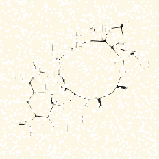 CC[C@H]1OC(=O)[C@H](C)C(=O)[C@H](C)[C@@H](O[C@@H]2OC([C@@H](C)N(C)C)CC(N(C)C)C2O)[C@](C)(OC)C[C@@H](C)CN[C@H](C)[C@H]2NC(=O)O[C@@]21C